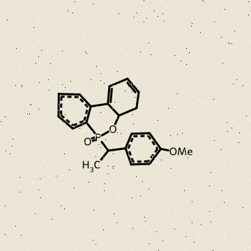 COc1ccc(C(C)P2(=O)OC3CC=CC=C3c3ccccc32)cc1